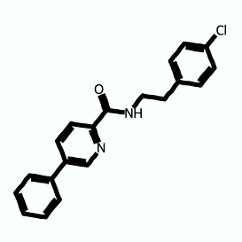 O=C(NCCc1ccc(Cl)cc1)c1ccc(-c2ccccc2)cn1